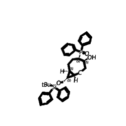 CC(C)(C)[Si](OC[C@H]1[C@@H]2CC[C@H](O)[C@@H](P(=O)(c3ccccc3)c3ccccc3)CC[C@@H]21)(c1ccccc1)c1ccccc1